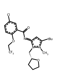 Cn1c(C(C)(C)C)cc(=NC(=O)c2cc(Cl)ccc2OCC(F)(F)F)n1C[C@H]1CCCO1